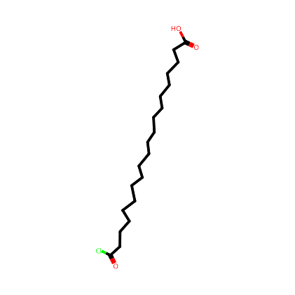 O=C(O)CCCCCCCCCCCCCCCCCCC(=O)Cl